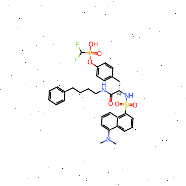 CN(C)c1cccc2c(S(=O)(=O)N[C@@H](Cc3ccc(OP(=O)(O)C(F)F)cc3)C(=O)NCCCCc3ccccc3)cccc12